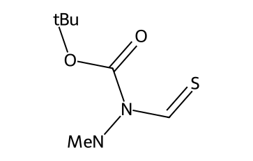 CNN(C=S)C(=O)OC(C)(C)C